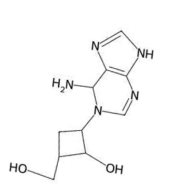 NC1c2nc[nH]c2N=CN1C1CC(CO)C1O